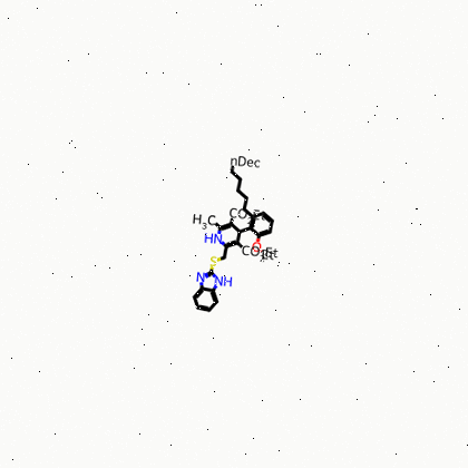 CCCCCCCCCCCCCCCc1cccc(OCC)c1C1C(C(=O)OCC)=C(C)NC(CSc2nc3ccccc3[nH]2)=C1C(=O)OCC